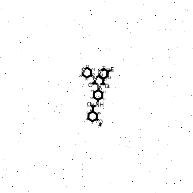 COC1CCCC(C(=O)NC2CCC(n3c(=O)c4cc(F)cnc4n(C4CCSCC4)c3=O)CC2)C1